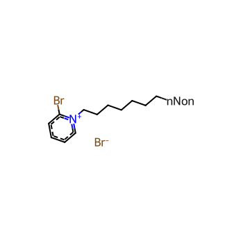 CCCCCCCCCCCCCCCC[n+]1ccccc1Br.[Br-]